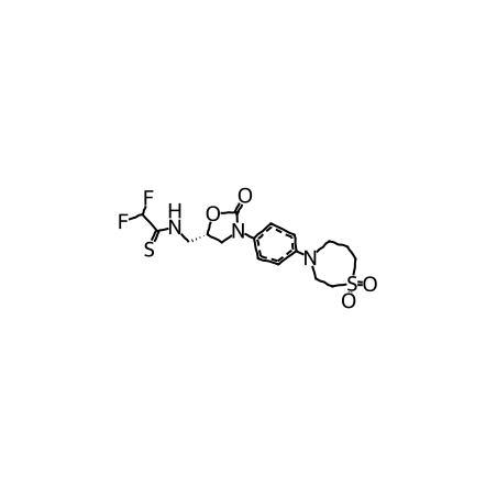 O=C1O[C@@H](CNC(=S)C(F)F)CN1c1ccc(N2CCCS(=O)(=O)CC2)cc1